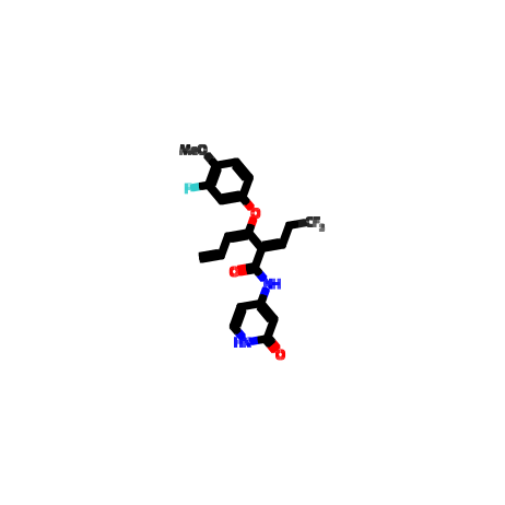 C=C/C=C(Oc1ccc(OC)c(F)c1)\C(=C/CC(F)(F)F)C(=O)Nc1cc[nH]c(=O)c1